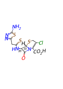 Nc1nnc(CC(=S)N[C@@H]2C(=O)N3C(C(=O)O)=C(Cl)CS[C@@H]23)s1